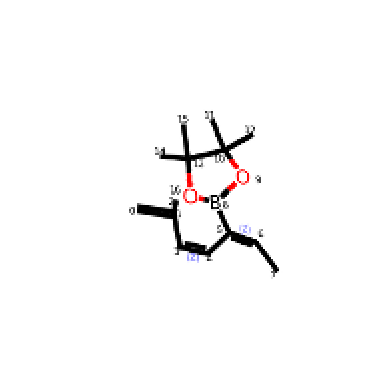 C=C(C)/C=C\C(=C/C)B1OC(C)(C)C(C)(C)O1